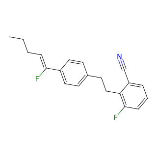 CCCC=C(F)c1ccc(CCc2c(F)cccc2C#N)cc1